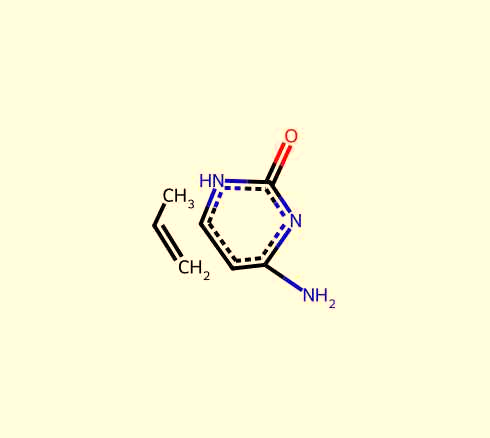 C=CC.Nc1cc[nH]c(=O)n1